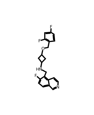 Fc1ccc(COC2CC(NCc3c(F)ccc4cnccc34)C2)c(F)c1